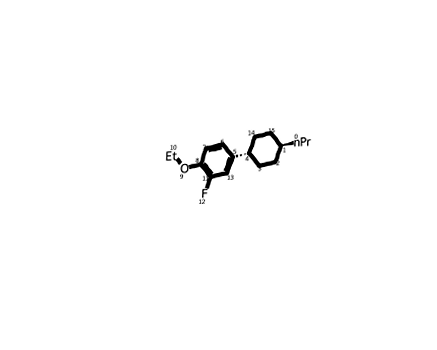 CCC[C@H]1CC[C@H](c2ccc(OCC)c(F)c2)CC1